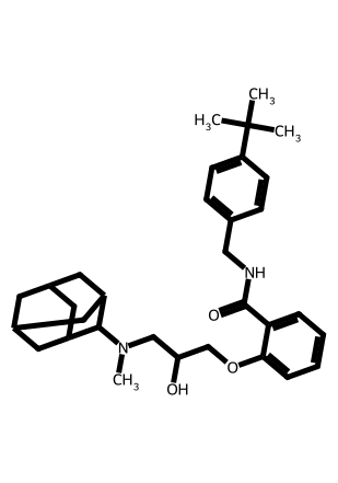 CN(CC(O)COc1ccccc1C(=O)NCc1ccc(C(C)(C)C)cc1)C1C2CC3CC(C2)CC1C3